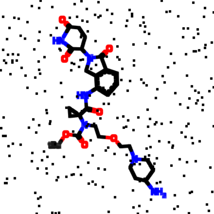 CC(C)(C)OC(=O)N(CCOCCN1CCC(N)CC1)C1(C(=O)Nc2cccc3c2CN(C2CCC(=O)NC2=O)C3=O)CC1